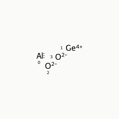 [Al].[Ge+4].[O-2].[O-2]